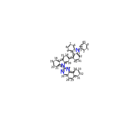 c1ccc(-n2c3ccccc3c3c(-c4ccc5c6ccccc6n(-c6ncc7ccc8ccccc8c7n6)c5c4)cccc32)cc1